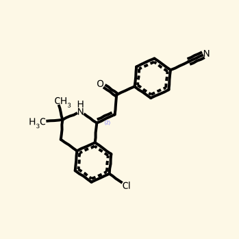 CC1(C)Cc2ccc(Cl)cc2/C(=C/C(=O)c2ccc(C#N)cc2)N1